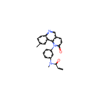 C=CC(=O)N(C)c1cccc(-n2c(=O)ccc3cnc4ccc(C)cc4c32)c1